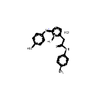 CCCCc1ccc(/N=c2/scc(CC(=O)Nc3ccc([N+](=O)[O-])cc3)n2C)cc1.Cl